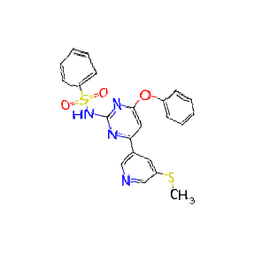 CSc1cncc(-c2cc(Oc3ccccc3)nc(NS(=O)(=O)c3ccccc3)n2)c1